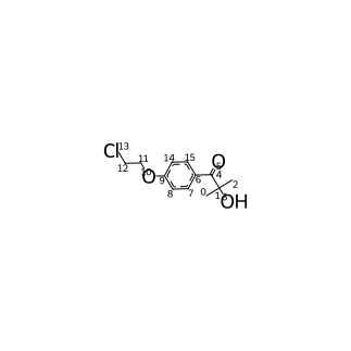 CC(C)(O)C(=O)c1ccc(OCCCl)cc1